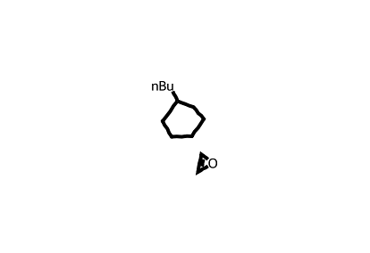 C1=CO1.CCCCC1CCCCC1